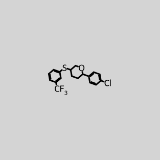 FC(F)(F)c1cccc(SC2CCC(c3ccc(Cl)cc3)OC2)c1